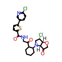 O=C(NCC(=O)C1CCCCC1N1C[C@H](Cl)[C@H]2OCC(=O)[C@H]21)c1ccc(-c2ccc(Cl)nc2)s1